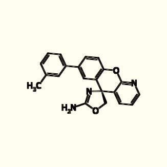 Cc1cccc(-c2ccc3c(c2)[C@]2(COC(N)=N2)c2cccnc2O3)c1